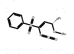 CC(C)[C@@H](C=C(N=C=O)S(=O)(=O)c1ccccc1)OC(C)(C)C